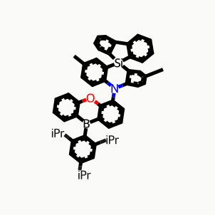 Cc1ccc2c(c1)[Si]1(c3ccccc3-c3ccccc31)c1cc(C)ccc1N2c1cccc2c1Oc1ccccc1B2c1c(C(C)C)cc(C(C)C)cc1C(C)C